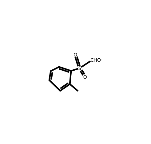 Cc1ccccc1S(=O)(=O)[C]=O